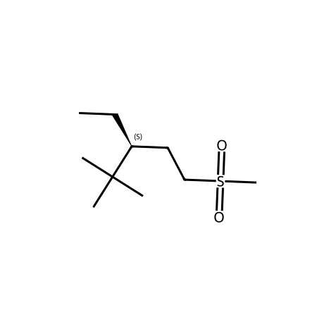 CC[C@@H](CCS(C)(=O)=O)C(C)(C)C